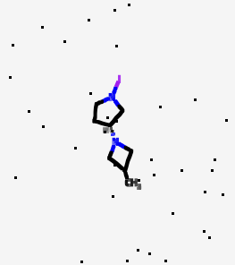 CC1CN([C@@H]2CCN(I)C2)C1